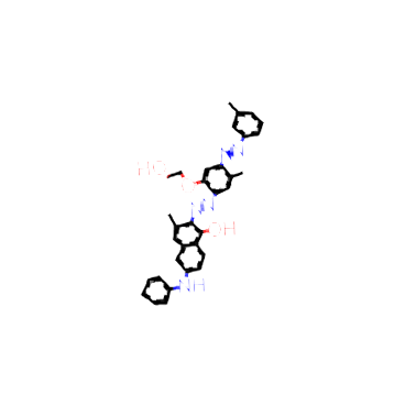 Cc1cccc(/N=N/c2cc(OCCO)c(/N=N/c3c(C)cc4cc(Nc5ccccc5)ccc4c3O)cc2C)c1